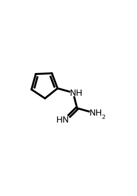 N=C(N)NC1=CC=CC1